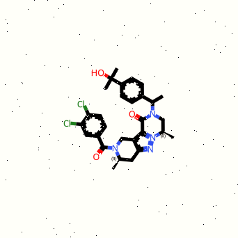 CC(c1ccc(C(C)(C)O)cc1)N1C[C@@H](C)n2nc3c(c2C1=O)CN(C(=O)c1ccc(Cl)c(Cl)c1)[C@H](C)C3